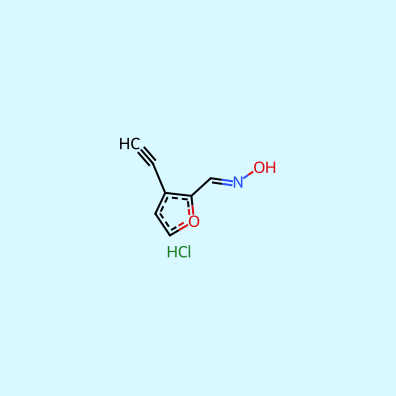 C#Cc1ccoc1C=NO.Cl